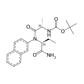 CC[C@@H](C(N)=O)N(C(=O)[C@H](C)NC(=O)OC(C)(C)C)c1ccc2ccccc2c1